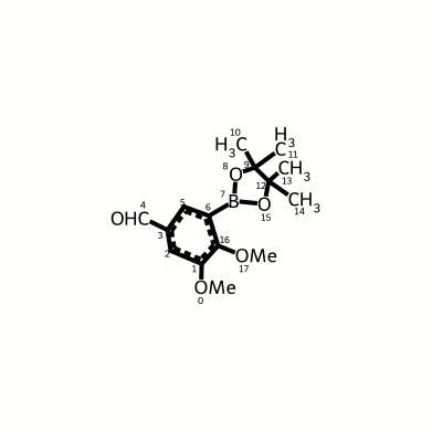 COc1cc(C=O)cc(B2OC(C)(C)C(C)(C)O2)c1OC